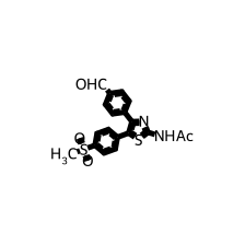 CC(=O)Nc1nc(-c2ccc(C=O)cc2)c(-c2ccc(S(C)(=O)=O)cc2)s1